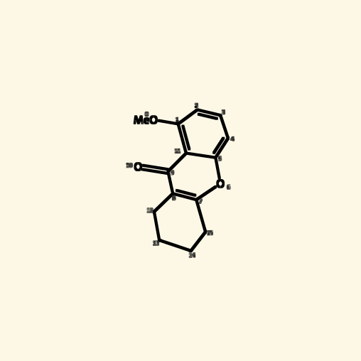 COc1cccc2oc3c(c(=O)c12)CCCC3